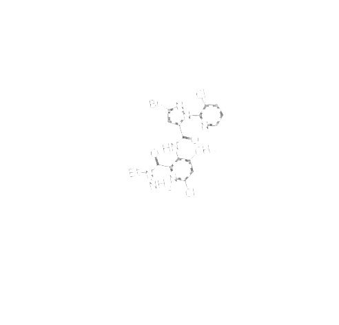 CCN(N)C(=O)c1nc(Cl)cc(C)c1NC(=O)c1cc(Br)nn1-c1ncccc1Cl